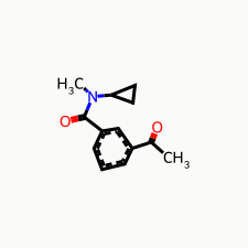 CC(=O)c1cccc(C(=O)N(C)C2CC2)c1